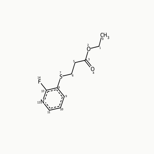 CCOC(=O)CCSc1cccnc1F